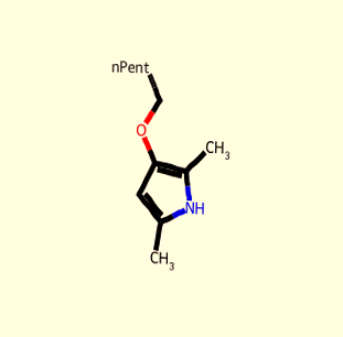 CCCCCCOc1cc(C)[nH]c1C